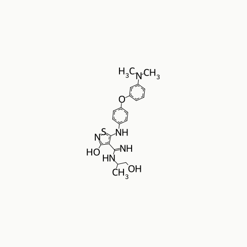 CC(CO)NC(=N)c1c(O)nsc1Nc1ccc(Oc2cccc(N(C)C)c2)cc1